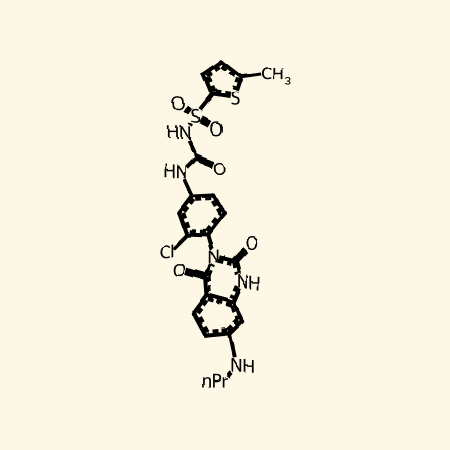 CCCNc1ccc2c(=O)n(-c3ccc(NC(=O)NS(=O)(=O)c4ccc(C)s4)cc3Cl)c(=O)[nH]c2c1